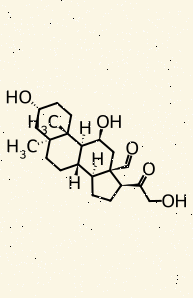 C[C@@]12CC[C@@H]3[C@H]([C@@H](O)C[C@]4(C=O)[C@@H](C(=O)CO)CC[C@@H]34)[C@@]1(C)CC[C@@H](O)C2